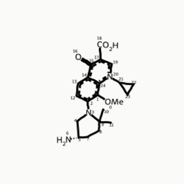 COc1c(N2C[C@@H](N)CCC2(C)C)ccc2c(=O)c(C(=O)O)cn(C3CC3)c12